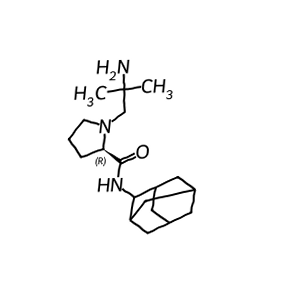 CC(C)(N)CN1CCC[C@@H]1C(=O)NC1C2CC3CC(C2)CC1C3